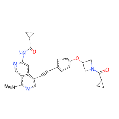 CNc1ncc(C#Cc2ccc(OC3CN(C(=O)C4CC4)C3)cc2)c2cc(NC(=O)C3CC3)ncc12